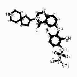 CCN(C)S(=O)(=O)Nc1ccc(F)c(Oc2ccc3ncn(C4CCC5(CCNCC5)C4)c(=O)c3c2)c1C#N